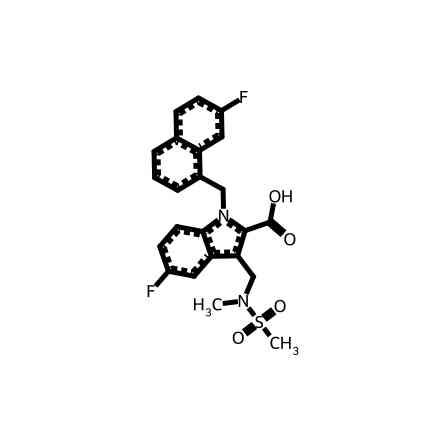 CN(Cc1c(C(=O)O)n(Cc2cccc3ccc(F)cc23)c2ccc(F)cc12)S(C)(=O)=O